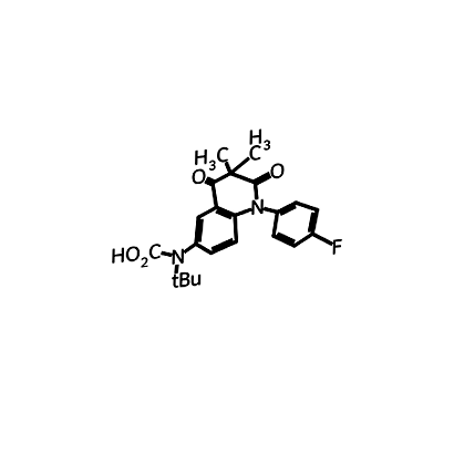 CC1(C)C(=O)c2cc(N(C(=O)O)C(C)(C)C)ccc2N(c2ccc(F)cc2)C1=O